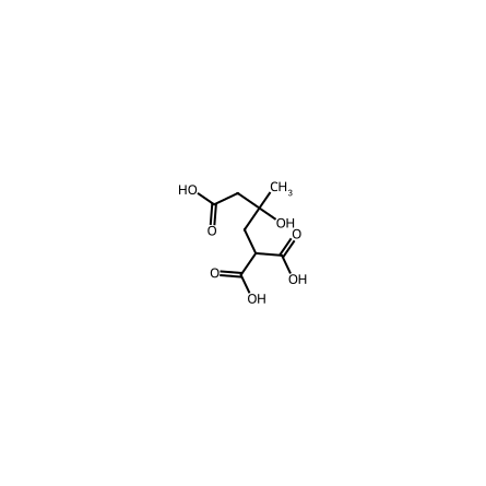 CC(O)(CC(=O)O)CC(C(=O)O)C(=O)O